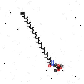 CCO[Si](CCCNC(=O)C(C)CC(C)CC(C)CC(C)CC(C)CC(C)CC(C)CC(C)CC(C)CC(C)CC(C)CC(C)CC(C)CC(C)CC(C)CC(C)CC(C)CC(C)CC(C)CC(C)CC)(OCC)OCC